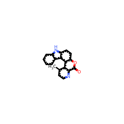 Cc1ccnc2c(=O)oc3ccc4[nH]c5ccccc5c4c3c12